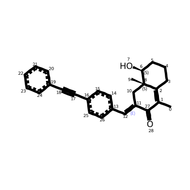 CC1=C2CCC[C@H](O)[C@@]2(C)C/C(=C\c2ccc(C#Cc3ccccc3)cc2)C1=O